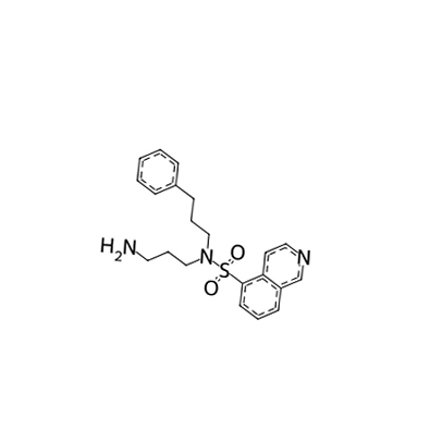 NCCCN(CCCc1ccccc1)S(=O)(=O)c1cccc2cnccc12